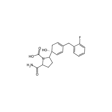 NC(=O)C1CCC([C@]2(O)C=CC(Cc3ccccc3F)=CC2)N1C(=O)O